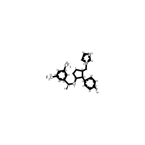 C[C@H](OC1CCC(Cn2ccnc2)C1c1ccc(F)cc1)c1cc(C(F)(F)F)cc(C(F)(F)F)c1